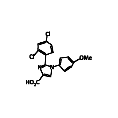 COc1ccc(-n2cc(C(=O)O)nc2-c2ccc(Cl)cc2Cl)cc1